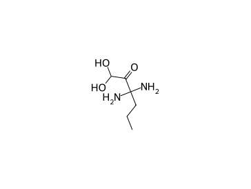 CCCC(N)(N)C(=O)C(O)O